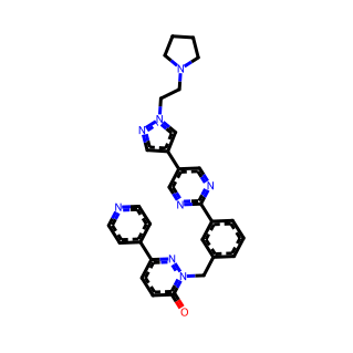 O=c1ccc(-c2ccncc2)nn1Cc1cccc(-c2ncc(-c3cnn(CCN4CCCC4)c3)cn2)c1